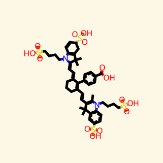 CC1=C(/C=C/C2=C(c3ccc(C(=O)O)cc3)C(=C/C=C3/N(CCCCS(=O)(=O)O)C4=C(CC(S(=O)(=O)O)C=C4)C3(C)C)/CCC2)C(C)(C)c2cc(S(=O)(=O)O)ccc2N1CCCCS(=O)(=O)O